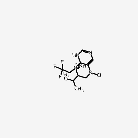 CC(C)C1CN(Cl)C2=CN=CNC23NN=C[N+]13CC(F)(F)F